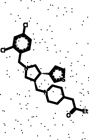 CCC(=O)CC1CCN(C[C@H]2CN(Cc3ccc(Cl)cc3Cl)C[C@@H]2c2ccsc2)CC1